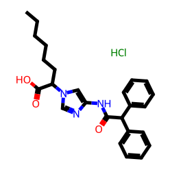 CCCCCCC(C(=O)O)n1cnc(NC(=O)C(c2ccccc2)c2ccccc2)c1.Cl